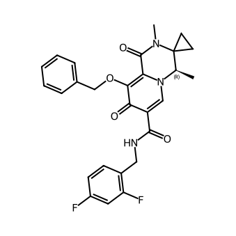 C[C@H]1n2cc(C(=O)NCc3ccc(F)cc3F)c(=O)c(OCc3ccccc3)c2C(=O)N(C)C12CC2